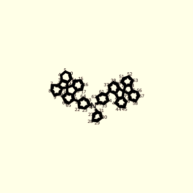 C1=CC2=C(CC1)c1ccccc1C21c2ccccc2-c2c(-c3ccc(N(c4ccccc4)c4ccc(-c5cccc6c5-c5ccccc5C65c6ccccc6-c6ccccc65)cc4)cc3)cccc21